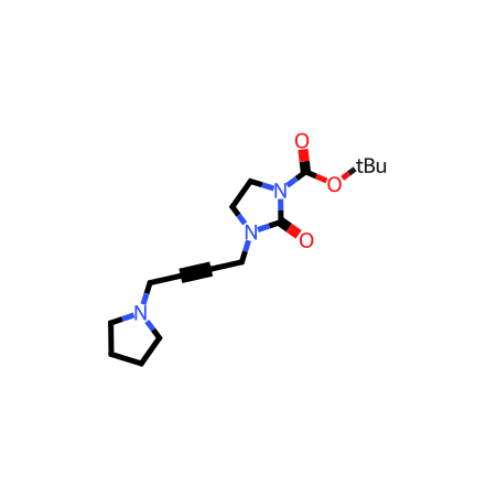 CC(C)(C)OC(=O)N1CCN(CC#CCN2CCCC2)C1=O